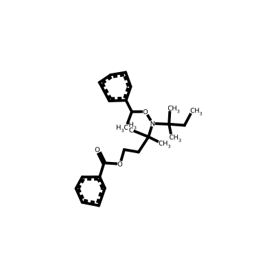 CCC(C)(C)N(OC(C)c1ccccc1)C(C)(C)CCOC(=O)c1ccccc1